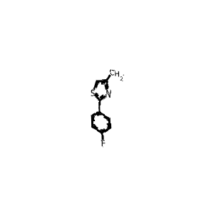 [CH2]c1csc(-c2ccc(F)cc2)n1